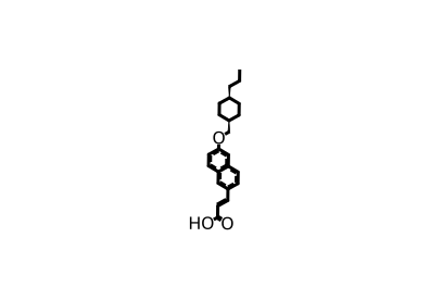 CCC[C@H]1CC[C@@H](COc2ccc3cc(C=CC(=O)O)ccc3c2)CC1